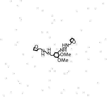 COc1cc(CNCCNCc2ccco2)cc(CNCCNCc2ccco2)c1OC